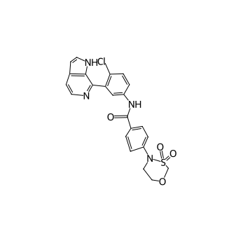 O=C(Nc1ccc(Cl)c(-c2nccc3cc[nH]c23)c1)c1ccc(N2CCOCS2(=O)=O)cc1